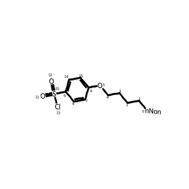 CCCCCCCCCCCCCOc1ccc(S(=O)(=O)Cl)cc1